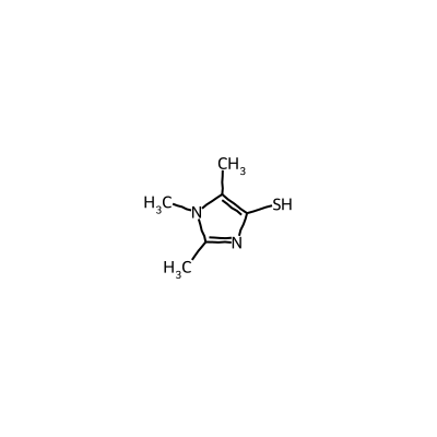 Cc1nc(S)c(C)n1C